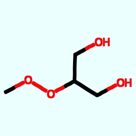 COOC(CO)CO